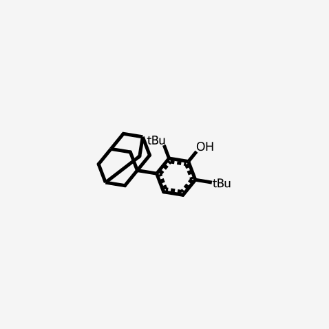 CC(C)(C)c1ccc(C23CC4CC(CC(C4)C2)C3)c(C(C)(C)C)c1O